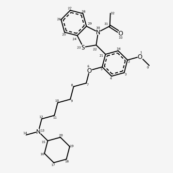 COc1ccc(OCCCCCCN(C)C2CCCCC2)c(C2Sc3ccccc3N2C(C)=O)c1